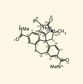 CNC(=O)c1ccc2c(c1)CCc1cc(C(=O)NC)ccc1C2(C[C@H](C)N)c1nn(C(C)C)c(=O)[nH]1